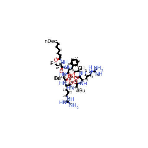 CCCCCCCCCCCCCCCC(=O)N[C@@H](CC(C)C)C(=O)N[C@@H](Cc1ccccc1)C(=O)N[C@H](C(=O)N[C@@H](CCCNC(=N)N)C(=O)N[C@H](C(=O)N[C@@H](CCCNC(=N)N)C(=O)N[C@H](C)CO)[C@H](C)CC)[C@H](C)CC